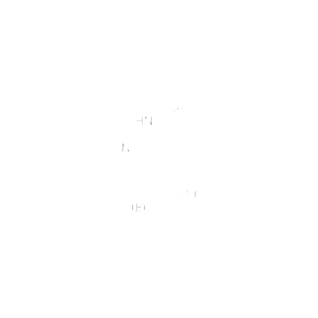 CC(C)Nc1cc(C(C)(C)C)c(C(C)(C)C)cn1